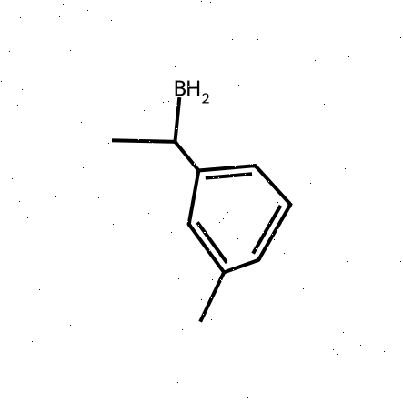 BC(C)c1cccc(C)c1